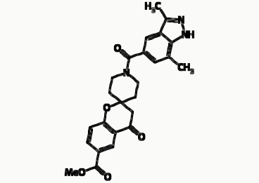 COC(=O)c1ccc2c(c1)C(=O)CC1(CCN(C(=O)c3cc(C)c4[nH]nc(C)c4c3)CC1)O2